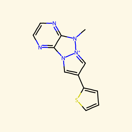 Cn1c2nccnc2n2cc(-c3cccs3)c[n+]12